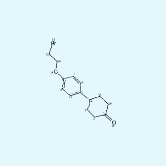 O=C1CCC(c2ccc(OCCBr)cc2)CC1